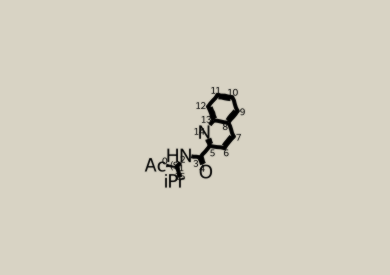 CC(=O)[C@@H](NC(=O)c1ccc2ccccc2n1)C(C)C